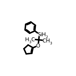 CC(C)(OC1=CCCC1)[SiH2]c1ccccc1